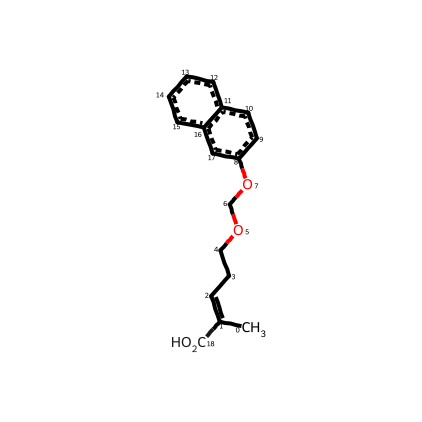 CC(=CCCOCOc1ccc2ccccc2c1)C(=O)O